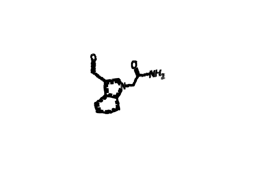 NC(=O)Cn1cc(C=O)c2ccccc21